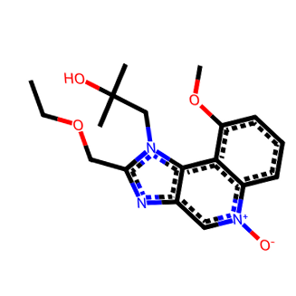 CCOCc1nc2c[n+]([O-])c3cccc(OC)c3c2n1CC(C)(C)O